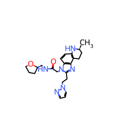 C[C@H]1CCc2c(ccc3c2nc(CCn2cccn2)n3CC(=O)NC[C@H]2CCCO2)N1